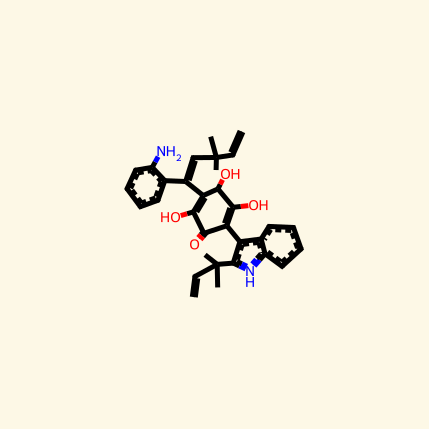 C=CC(C)(C)/C=C(\C1=C(O)C(=O)C(c2c(C(C)(C)C=C)[nH]c3ccccc23)=C(O)C1O)c1ccccc1N